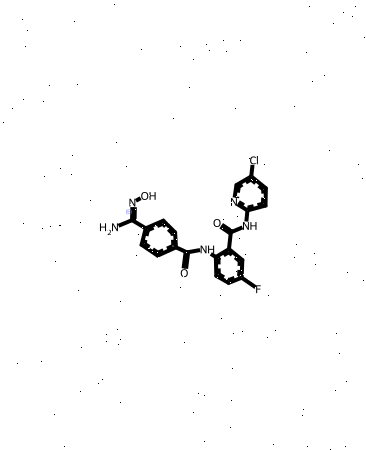 N/C(=N/O)c1ccc(C(=O)Nc2ccc(F)cc2C(=O)Nc2ccc(Cl)cn2)cc1